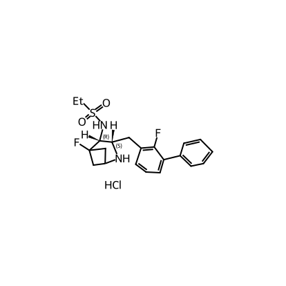 CCS(=O)(=O)N[C@@H]1[C@H](Cc2cccc(-c3ccccc3)c2F)NC2CC1(F)C2.Cl